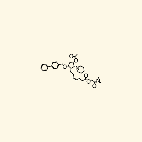 CC(=O)O[C@@H]1C[C@H](OCc2ccc(-c3ccccc3)cc2)[C@H](CC/C=C\CCC(=O)OCC(=O)N(C)C)[C@H]1N1CCCCC1